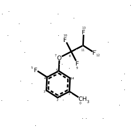 Cc1ccc(F)c(OC(F)(F)C(F)F)c1